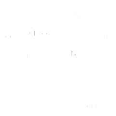 CC1CCC[N+](=c2sccs2)C1.[O-][Cl+3]([O-])([O-])[O-]